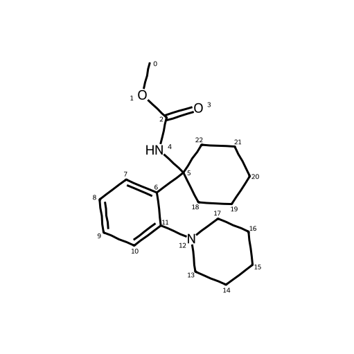 COC(=O)NC1(c2ccccc2N2CCCCC2)CCCCC1